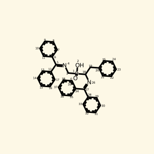 O=P(O)(CN=C(c1ccccc1)c1ccccc1)C(Cc1ccccc1)N=C(c1ccccc1)c1ccccc1